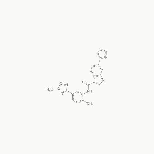 Cc1nc(-c2ccc(C)c(NC(=O)c3cnc4cc(-c5cscn5)ccn34)c2)no1